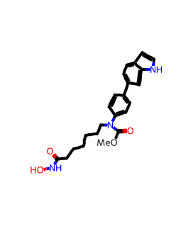 COC(=O)N(CCCCCCC(=O)NO)c1ccc(-c2ccc3cc[nH]c3c2)cc1